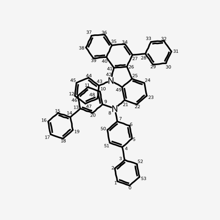 c1ccc(-c2ccc(N(c3cccc(-c4ccccc4)c3)c3cccc4c5c(-c6ccccc6)cc6ccccc6c5n(-c5ccccc5)c34)cc2)cc1